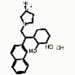 Cl.Cl.N[C@H]1CCN(CC(c2ccc3ccccc3c2)C2CCCCC2O)C1